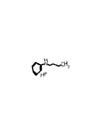 CCCCNc1ccccc1.F